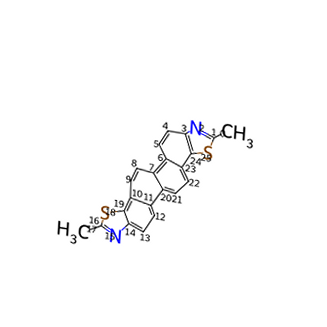 Cc1nc2ccc3c4ccc5c(ccc6nc(C)sc65)c4ccc3c2s1